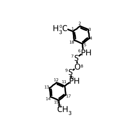 Cc1cccc(PSOSPc2cccc(C)c2)c1